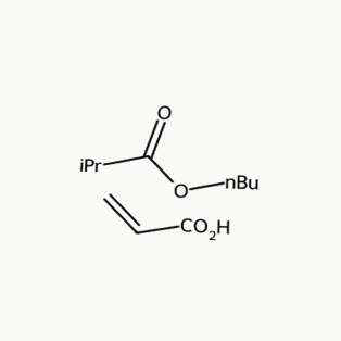 C=CC(=O)O.CCCCOC(=O)C(C)C